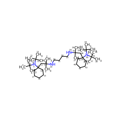 CC(C)(CC1(N(C(C)(C)C)C(C)(C)C)CCCCC1)NCCCCNC(C)(C)CC1(N(C(C)(C)C)C(C)(C)C)CCCCC1